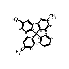 Cc1ccc(C(c2ccccc2)(c2ccc(C)cc2)c2ccc(C)cc2)cc1